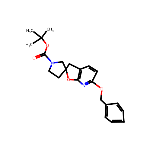 CC(C)(C)OC(=O)N1CCC2(Cc3ccc(OCc4ccccc4)nc3O2)C1